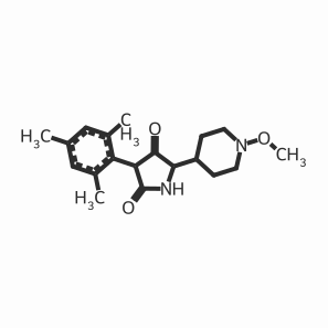 CON1CCC(C2NC(=O)C(c3c(C)cc(C)cc3C)C2=O)CC1